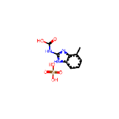 Cc1cccc2[nH]c(NC(=O)O)nc12.O=S(=O)(O)O